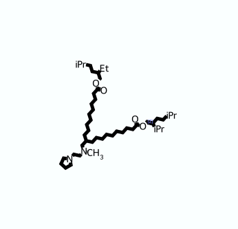 CCC(CCC(C)C)COC(=O)CCCCCCCCCC(CCCCCCCCCC(=O)O/C=C(/CCC(C)C)C(C)C)CN(C)CCN1CCCC1